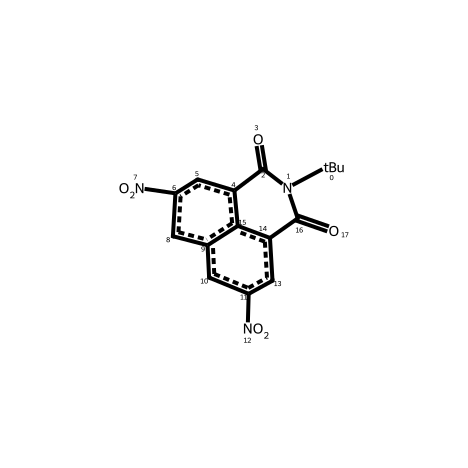 CC(C)(C)N1C(=O)c2cc([N+](=O)[O-])cc3cc([N+](=O)[O-])cc(c23)C1=O